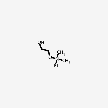 CC[Si](C)(C)OCCO